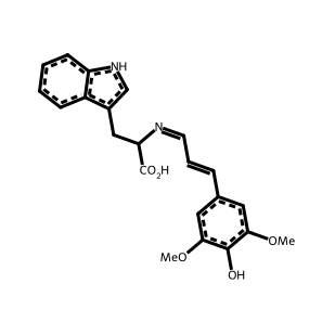 COc1cc(/C=C/C=N\C(Cc2c[nH]c3ccccc23)C(=O)O)cc(OC)c1O